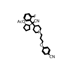 CC(=O)O[C@H]1CCC[C@@H]1C(C#N)(c1ccccc1F)C1CCN(CCCOc2ccc(C#N)cc2)CC1